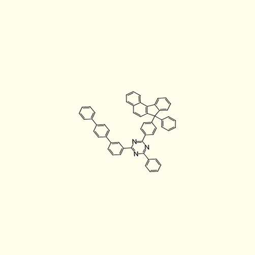 c1ccc(-c2ccc(-c3cccc(-c4nc(-c5ccccc5)nc(-c5ccc(C6(c7ccccc7)c7ccccc7-c7c6ccc6ccccc76)cc5)n4)c3)cc2)cc1